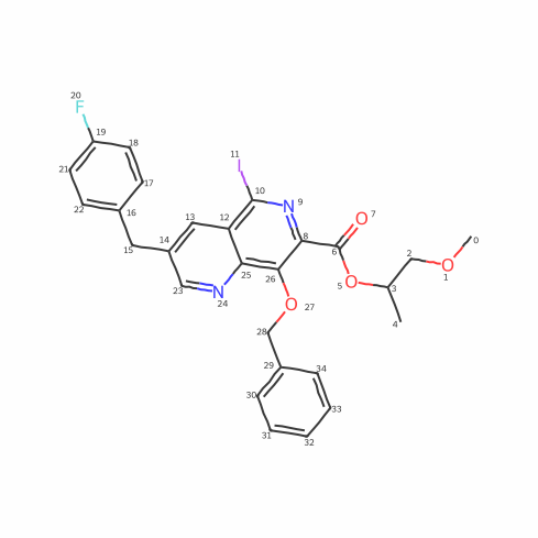 COCC(C)OC(=O)c1nc(I)c2cc(Cc3ccc(F)cc3)cnc2c1OCc1ccccc1